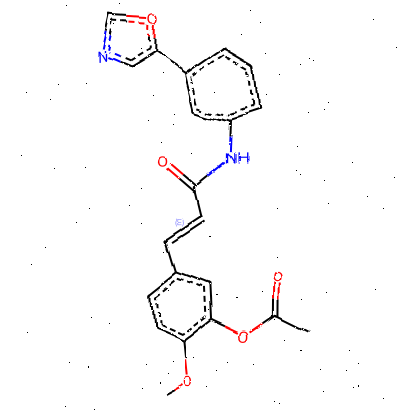 COc1ccc(/C=C/C(=O)Nc2cccc(-c3cnco3)c2)cc1OC(C)=O